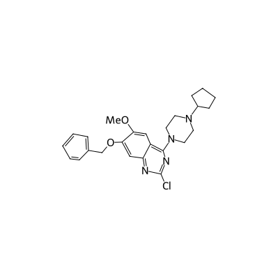 COc1cc2c(N3CCN(C4CCCC4)CC3)nc(Cl)nc2cc1OCc1ccccc1